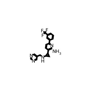 FC(F)(F)c1cccc(-c2ccc(C3CC3NCc3cncnc3)cn2)c1.N